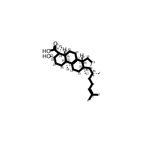 CC(C)=CCC[C@@H](C)[C@H]1CC[C@H]2C3=C(CC[C@]12C)[C@@]1(C)CC[C@H](O)[C@@](C)(C(=O)O)[C@@H]1CC3